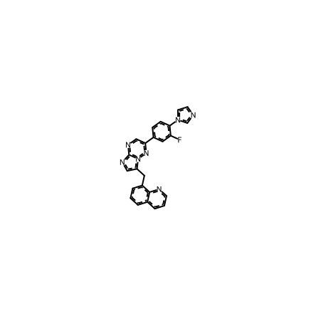 Fc1cc(-c2cnc3ncc(Cc4cccc5cccnc45)n3n2)ccc1-n1ccnc1